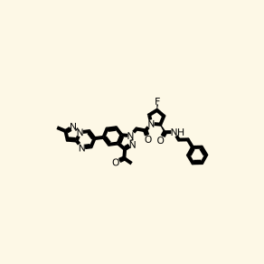 CC(=O)c1nn(CC(=O)N2C[C@H](F)C[C@H]2C(=O)NCCc2ccccc2)c2ccc(-c3cnc4cc(C)nn4c3)cc12